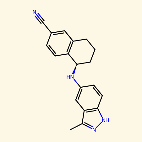 Cc1n[nH]c2ccc(N[C@@H]3CCCc4cc(C#N)ccc43)cc12